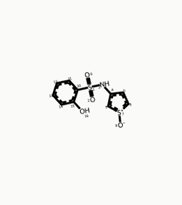 O=S(=O)(Nc1cc[s+]([O-])c1)c1ccccc1O